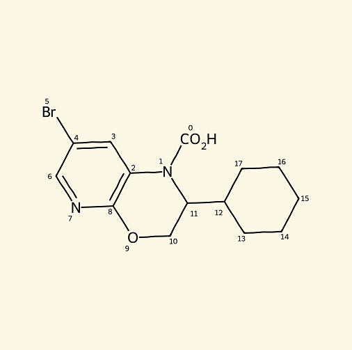 O=C(O)N1c2cc(Br)cnc2OCC1C1CCCCC1